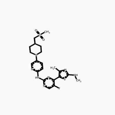 CNc1nc(C)c(-c2nc(Nc3ccc(N4CCC(CS(C)(=O)=O)CC4)cn3)ncc2F)s1